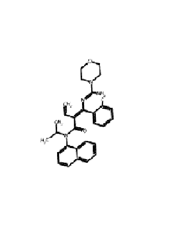 C=C/C(C(=O)N(c1cccc2ccccc12)C(C)C)=C(\N=C(/N)N1CCOCC1)c1ccccc1F